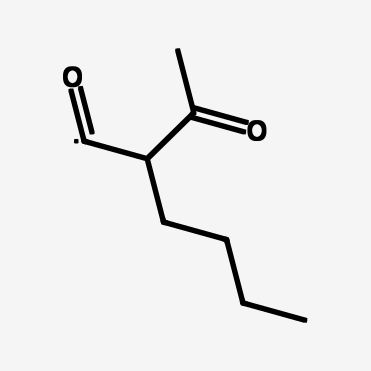 CCCCC([C]=O)C(C)=O